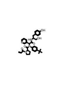 C=CC(=O)N1CCCC1C(=O)N(c1ccc(C(C)(C)C)cc1)C(C(=O)NC(CO)Cc1ccc(O)cc1)c1cccnc1